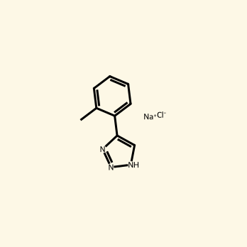 Cc1ccccc1-c1c[nH]nn1.[Cl-].[Na+]